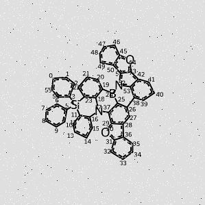 c1ccc([Si]2(c3ccccc3)c3ccccc3N3c4c(cccc42)B2c4c(cc5c(oc6ccccc65)c43)-c3cccc4c5oc6ccccc6c5n2c34)cc1